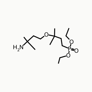 CCOP(=O)(CCC(C)(C)OCCC(C)(C)N)OCC